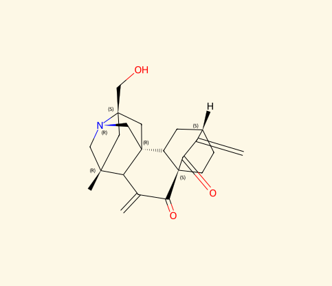 C=C1C(=O)[C@@]23CC[C@@H](CC2[C@]24C[N@]5C[C@](C)(C[C@@]5(CO)C2)C14)C(=C)C3=O